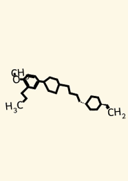 C=C[C@H]1CC[C@H](CCCCC2CCC(c3ccc(OC)c(CCC)c3)CC2)CC1